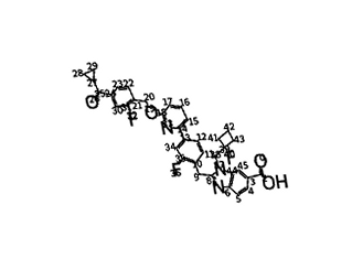 O=C(O)c1ccc2nc(Cc3ccc(-c4cccc(OCc5ccc(C(=O)C6CC6)cc5F)n4)cc3F)n(CC3(F)CCC3)c2c1